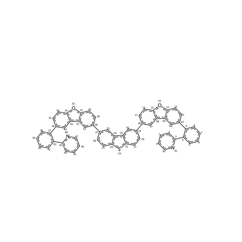 c1ccc(-c2ccccc2-c2ccc3oc4ccc(-c5ccc6sc7ccc(-c8ccc9oc%10ccc(-c%11ccccc%11-c%11ccccn%11)cc%10c9c8)cc7c6c5)cc4c3c2)nc1